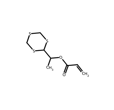 C=CC(=O)OC(C)C1SCSCS1